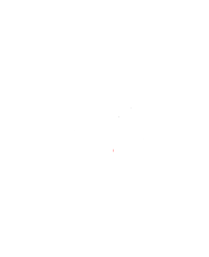 CCCC([CH]C(C)OC1CC(C)CCC1C(C)C)CCC